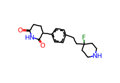 O=C1CCC(c2ccc(CCC3(F)CCNCC3)cc2)C(=O)N1